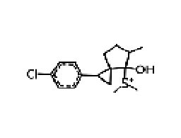 CC1CCC2(CC2c2ccc(Cl)cc2)C1(O)[S+](C)C